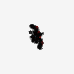 Cc1cc2c3c(c1)Oc1c(-c4ccc5oc6cc7ccccc7cc6c5c4)cc4c5c1[Si]3(c1ccc([N+](=O)[O-])cc1)c1c(ccc(-c3ccc6oc7cc8ccccc8cc7c6c3)c1O2)N5c1ccc(C)cc1C4(c1ccccc1)c1ccccc1